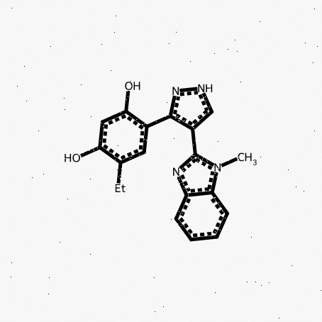 CCc1cc(-c2n[nH]cc2-c2nc3ccccc3n2C)c(O)cc1O